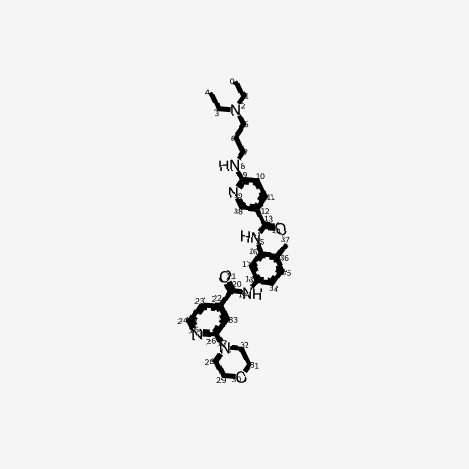 CCN(CC)CCCNc1ccc(C(=O)Nc2cc(NC(=O)c3ccnc(N4CCOCC4)c3)ccc2C)cn1